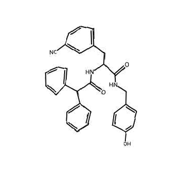 N#Cc1cccc(CC(NC(=O)C(c2ccccc2)c2ccccc2)C(=O)NCc2ccc(O)cc2)c1